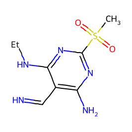 CCNc1nc(S(C)(=O)=O)nc(N)c1C=N